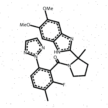 COc1cc2nc(C3(C)CCCN3C(=O)c3c(-n4nccn4)ccc(C)c3F)[nH]c2cc1OC